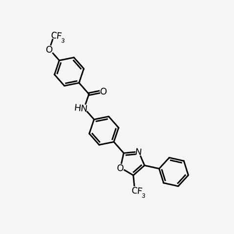 O=C(Nc1ccc(-c2nc(-c3ccccc3)c(C(F)(F)F)o2)cc1)c1ccc(OC(F)(F)F)cc1